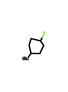 CC(C)(C)C1CCC(F)CC1